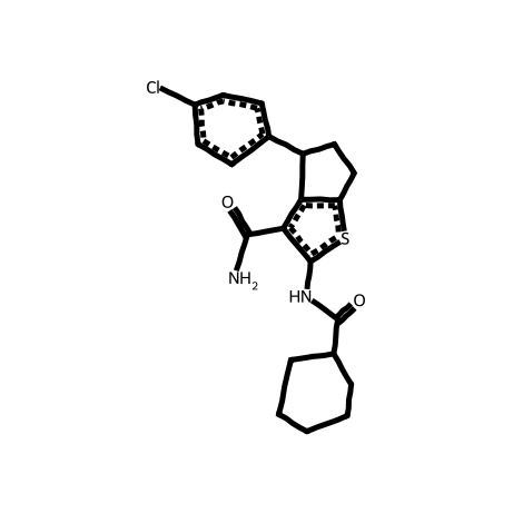 NC(=O)c1c(NC(=O)C2CCCCC2)sc2c1C(c1ccc(Cl)cc1)CC2